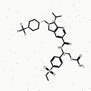 CCS(=O)(=O)c1ccc([C@H](COC(N)=O)NC(=O)c2cnc3c(c2)CN(C[C@H]2CC[C@H](C(F)(F)F)CC2)[C@H]3C(C)C)cc1